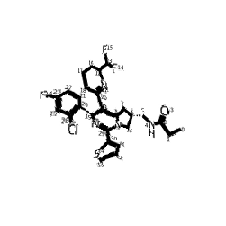 CCC(=O)NC[C@H]1CC2=C(C3=NC(C(F)F)CC=C3)[C@H](c3ccc(F)cc3Cl)N=C(c3cccs3)N2C1